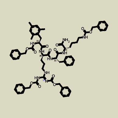 Cc1cc(C)c(C[C@H](NC(=O)OCc2ccccc2)C(=O)N[C@H](CCCN/C(=N\C(=O)OCc2ccccc2)NC(=O)OCc2ccccc2)C(=O)N[C@@H](Cc2ccccc2)C(=O)N[C@@H](CCCCNC(=O)OCc2ccccc2)C(N)=O)c(C)c1